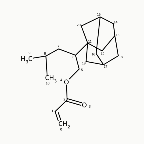 C=CC(=O)OCC(CC(C)C)C12CC3CC(CC(C3)C1)C2